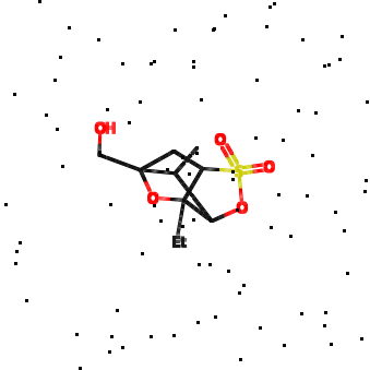 CCC12OC3(CO)CC1S(=O)(=O)OC2C3C